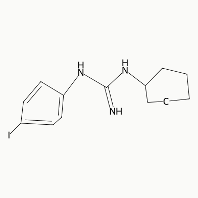 N=C(Nc1ccc(I)cc1)NC1CCCCC1